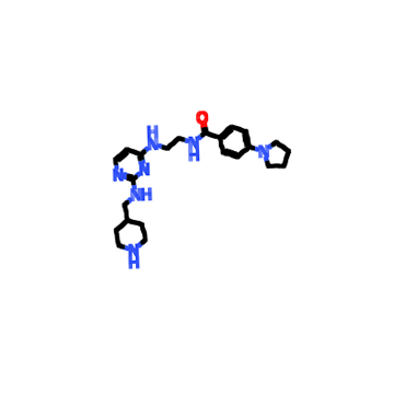 O=C(NCCNc1ccnc(NCC2CCNCC2)n1)c1ccc(N2CCCC2)cc1